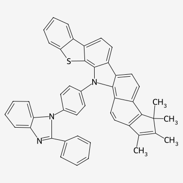 CC1=C(C)C(C)(C)c2c1ccc1c2ccc2c3ccc4c5ccccc5sc4c3n(-c3ccc(-n4c(-c5ccccc5)nc5ccccc54)cc3)c12